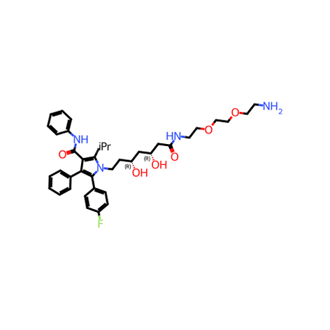 CC(C)c1c(C(=O)Nc2ccccc2)c(-c2ccccc2)c(-c2ccc(F)cc2)n1CC[C@@H](O)C[C@@H](O)CC(=O)NCCOCCOCCN